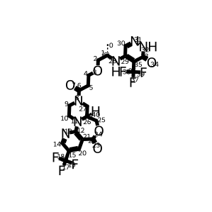 C[C@@H](COCCC(=O)N1CCN2c3ncc(C(F)(F)F)cc3C(=O)OC[C@H]2C1)Nc1cn[nH]c(=O)c1C(F)(F)F